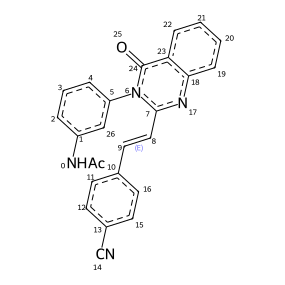 CC(=O)Nc1cccc(-n2c(/C=C/c3ccc(C#N)cc3)nc3ccccc3c2=O)c1